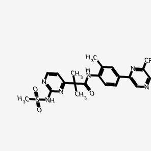 Cc1cc(-c2cncc(C(F)(F)F)n2)ccc1NC(=O)C(C)(C)c1ccnc(NS(C)(=O)=O)n1